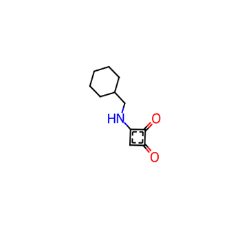 O=c1cc(NCC2CCCCC2)c1=O